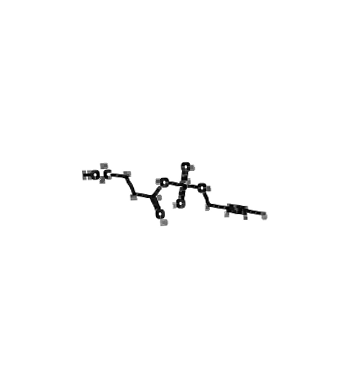 CC#CCOS(=O)(=O)OC(=O)CCC(=O)O